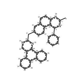 Cc1nc(-c2ccccc2)c2c(ccc3cc(Cc4ncc5c6ccccc6c6ccccc6c5n4)ccc32)n1